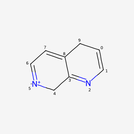 C1=CN=C2C[N+]=CC=C2C1